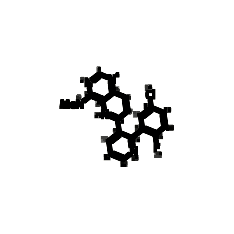 CNc1ncnc2ccc(-c3cccnc3-c3cc(Cl)ccc3F)nc12